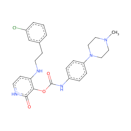 CN1CCN(c2ccc(NC(=O)Oc3c(NCCc4cccc(Cl)c4)cc[nH]c3=O)cc2)CC1